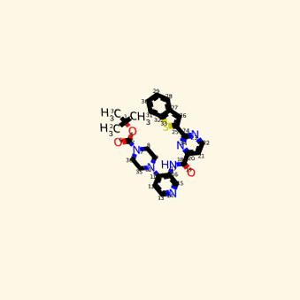 CC(C)(C)OC(=O)N1CCN(c2ccncc2NC(=O)c2ccnc(-c3cc4ccccc4s3)n2)CC1